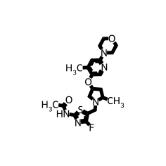 CC(=O)Nc1nc(F)c(CN2CC(Oc3cnc(N4CCOCC4)cc3C)CC2C)s1